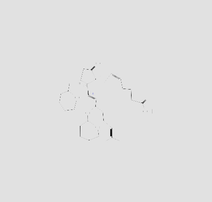 CC(C)=CCCC(/C=C/[C@H]1[C@H](OC2CCCCO2)CC(=O)[C@@H]1C/C=C\CCCC(=O)O)OC1CCCCO1